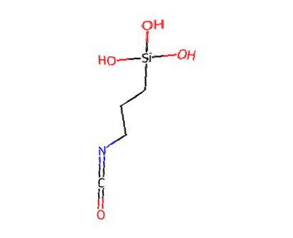 O=C=NCCC[Si](O)(O)O